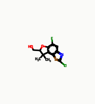 CC1(C)c2c(c(F)cc3nc(Cl)sc23)OC1CO